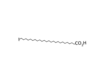 O=C(O)CCCCCCCCCCCCCCCCCCCCCCCCI